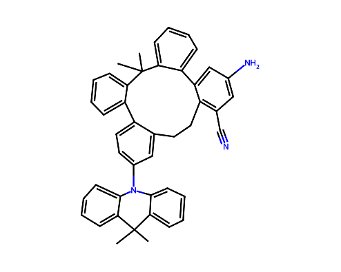 CC1(C)c2ccccc2-c2ccc(N3c4ccccc4C(C)(C)c4ccccc43)cc2CCc2c(C#N)cc(N)cc2-c2ccccc21